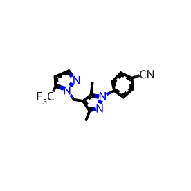 Cc1nn(-c2ccc(C#N)cc2)c(C)c1Cn1nccc1C(F)(F)F